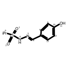 CC(C)S(=O)(=O)NN=Cc1ccc(O)cc1